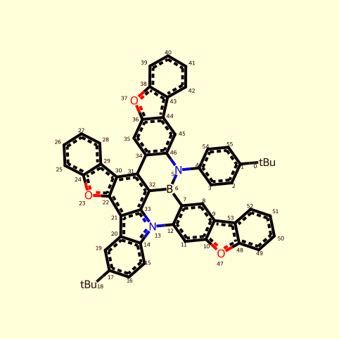 CC(C)(C)c1ccc(N2B3c4cc5c(cc4-n4c6ccc(C(C)(C)C)cc6c6c7oc8ccccc8c7c(c3c64)-c3cc4oc6ccccc6c4cc32)oc2ccccc25)cc1